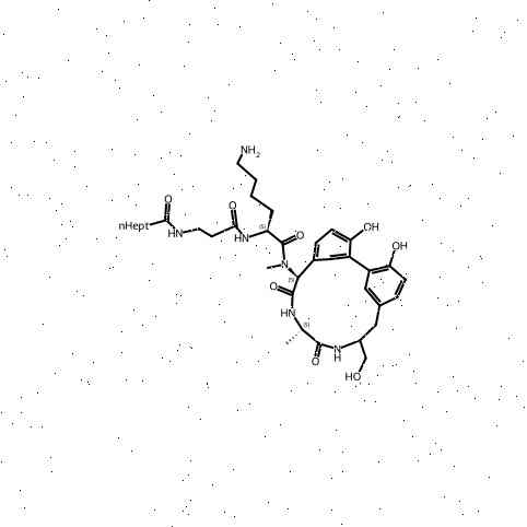 CCCCCCCC(=O)NCCC(=O)N[C@@H](CCCCN)C(=O)N(C)[C@@H]1C(=O)N[C@@H](C)C(=O)NC(CO)Cc2ccc(O)c(c2)-c2cc1ccc2O